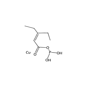 CCC(=CC(=O)OP(O)O)CC.[Cu]